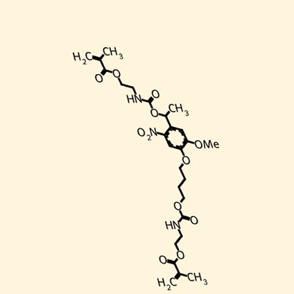 C=C(C)C(=O)OCCNC(=O)OCCCCOc1cc([N+](=O)[O-])c(C(C)OC(=O)NCCOC(=O)C(=C)C)cc1OC